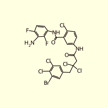 Nc1c(F)ccc(NC(=O)c2cc(NC(=O)CC(Cl)(Cl)Cc3cc(Cl)c(Cl)c(Br)c3)ccc2Cl)c1F